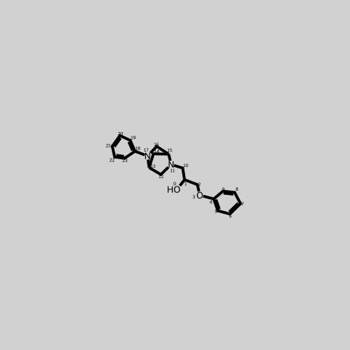 OC(COc1ccccc1)CN1CC2CC1CN2c1ccccc1